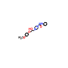 COc1ccc(OCC(O)CN2CCN(CC(=O)Nc3ccccc3)CC2)cc1